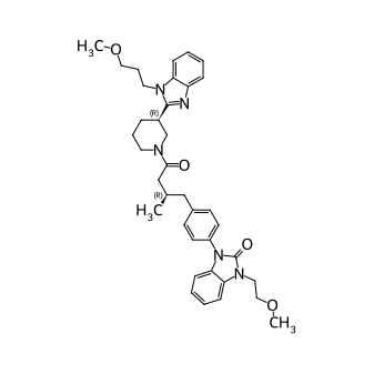 COCCCn1c([C@@H]2CCCN(C(=O)C[C@H](C)Cc3ccc(-n4c(=O)n(CCOC)c5ccccc54)cc3)C2)nc2ccccc21